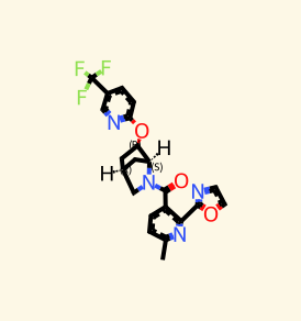 Cc1ccc(C(=O)N2C[C@H]3C[C@@H](Oc4ccc(C(F)(F)F)cn4)[C@@H]2C3)c(-c2ncco2)n1